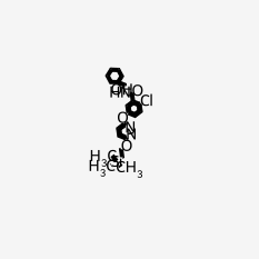 C[Si](C)(C)CCOc1ccc(Oc2ccc(Cl)c(C(=O)NCC3(O)CCCCC3)c2)nn1